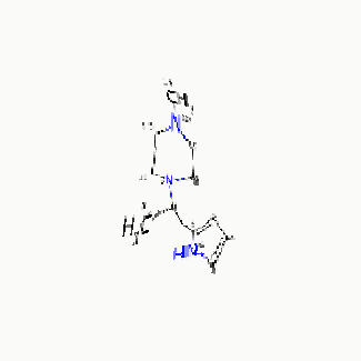 CC(c1ccc[nH]1)N1CCN(C)CC1